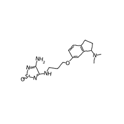 CN(C)C1CCc2ccc(OCCCNc3n[s+]([O-])nc3N)cc21